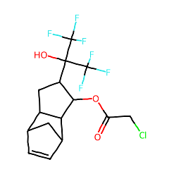 O=C(CCl)OC1C2C3C=CC(C3)C2CC1C(O)(C(F)(F)F)C(F)(F)F